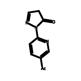 CC(=O)c1ccc(N2N=CCC2=O)nc1